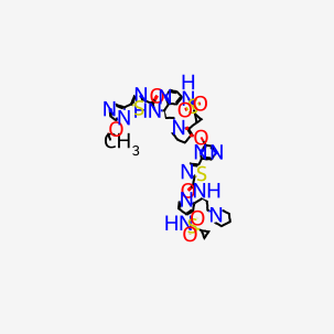 CCOc1cncc(-c2cnc(C(=O)N[C@H](CCN3CCCCC3)c3cc(NS(=O)(=O)C4CC4CCOc4cncc(-c5cnc(C(=O)N[C@@H](CCN6CCCCC6)c6cc(NS(=O)(=O)C7CC7)ccn6)s5)n4)ccn3)s2)n1